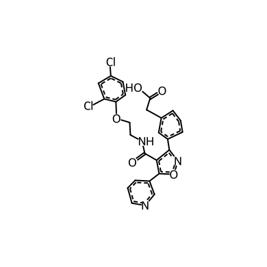 O=C(O)Cc1cccc(-c2noc(-c3cccnc3)c2C(=O)NCCOc2ccc(Cl)cc2Cl)c1